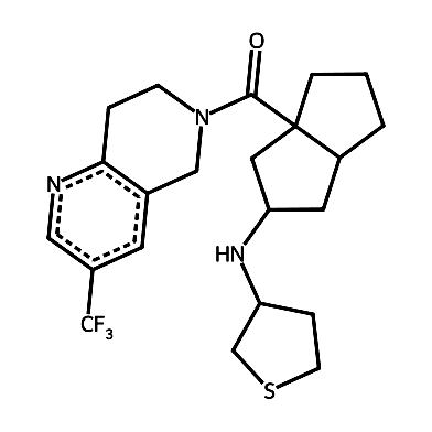 O=C(N1CCc2ncc(C(F)(F)F)cc2C1)C12CCCC1CC(NC1CCSC1)C2